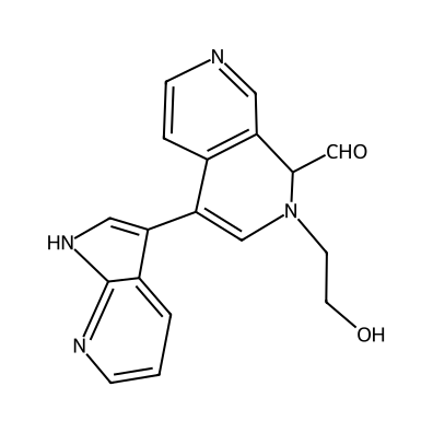 O=CC1c2cnccc2C(c2c[nH]c3ncccc23)=CN1CCO